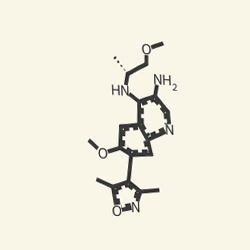 COC[C@@H](C)Nc1c(N)cnc2cc(-c3c(C)noc3C)c(OC)cc12